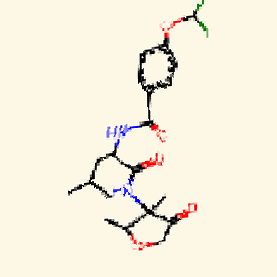 CC(C)CC(NC(=O)c1ccc(OC(F)F)cc1)C(=O)NC1(C)C(=O)COC1C